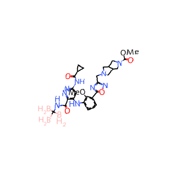 BC(B)(B)NC(=O)c1nnc(NC(=O)C2CC2)cc1Nc1cccc(-c2nc(CN3CC4CN(C(=O)OC)CC4C3)no2)c1OC